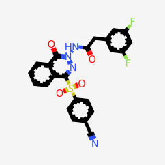 N#Cc1ccc(S(=O)(=O)c2nn(NC(=O)Cc3cc(F)cc(F)c3)c(=O)c3ccccc23)cc1